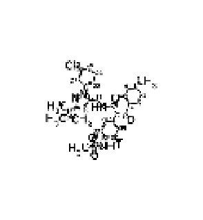 Cc1ccc(C(=O)C(C(=O)NCc2cc(C(C)(C)C)nn2-c2cccc(Cl)c2)c2ccc(NS(C)(=O)=O)c(F)c2)cc1